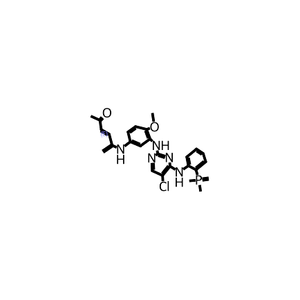 C=C(/C=C/C(C)=O)Nc1ccc(OC)c(Nc2ncc(Cl)c(Nc3ccccc3P(=C)(C)C)n2)c1